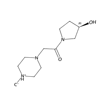 [CH2-][NH+]1CCN(CC(=O)N2CC[C@@H](O)C2)CC1